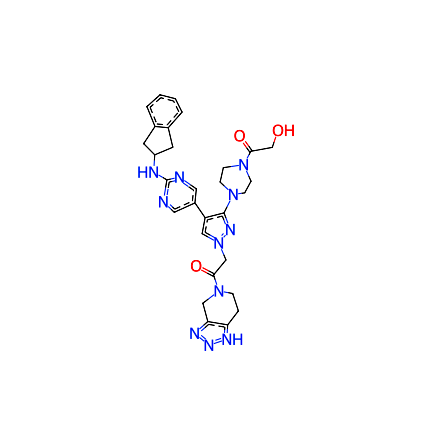 O=C(CO)N1CCN(c2nn(CC(=O)N3CCc4[nH]nnc4C3)cc2-c2cnc(NC3Cc4ccccc4C3)nc2)CC1